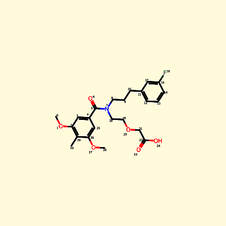 COc1cc(C(=O)N(CCCc2cccc(F)c2)CCOCC(=O)O)cc(OC)c1C